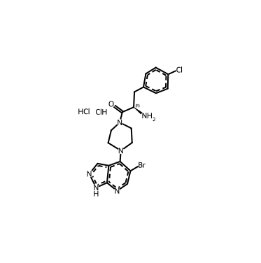 Cl.Cl.N[C@H](Cc1ccc(Cl)cc1)C(=O)N1CCN(c2c(Br)cnc3[nH]ncc23)CC1